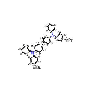 CCCc1ccc(N(c2ccccc2)c2ccc(-c3ccc(N(c4ccccc4)c4ccc(C(C)CC)cc4)cc3)cc2)cc1